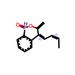 C=C1O[PH](=O)c2ccccc2/C1=C/C=C\C